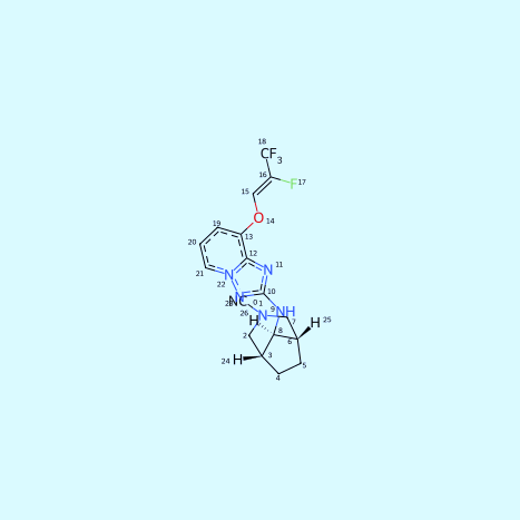 N#CN1C[C@H]2CC[C@@H](C1)[C@@H]2Nc1nc2c(O/C=C(\F)C(F)(F)F)cccn2n1